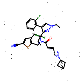 CCn1cc(-c2c(F)cccc2[C@@H]2CN(C(=O)/C=C/CNC34CC(C3)C4)Cc3sc(C#N)cc32)c(C(F)(F)CC)n1